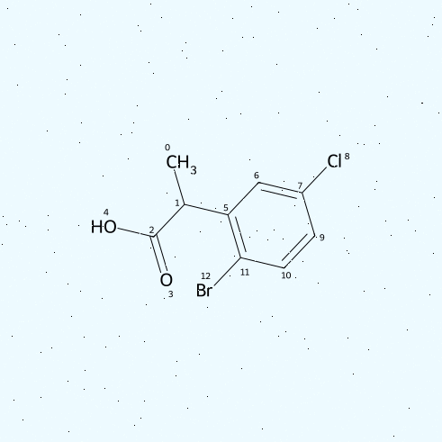 CC(C(=O)O)c1cc(Cl)ccc1Br